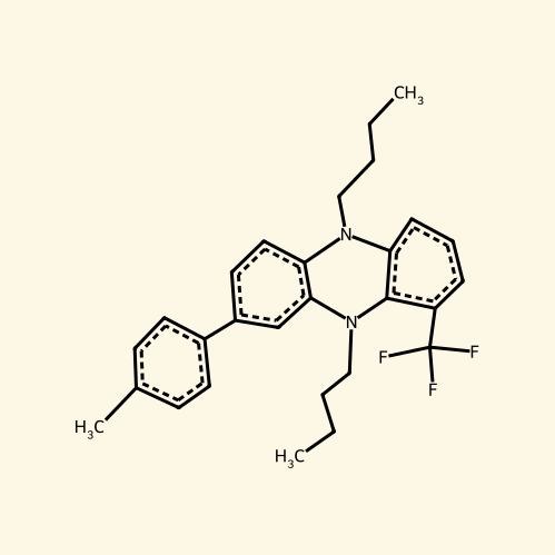 CCCCN1c2ccc(-c3ccc(C)cc3)cc2N(CCCC)c2c1cccc2C(F)(F)F